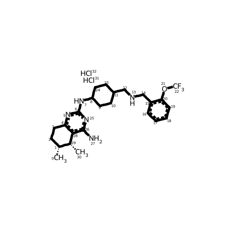 C[C@@H]1CCc2nc(NC3CCC(CNCc4ccccc4OC(F)(F)F)CC3)nc(N)c2[C@@H]1C.Cl.Cl